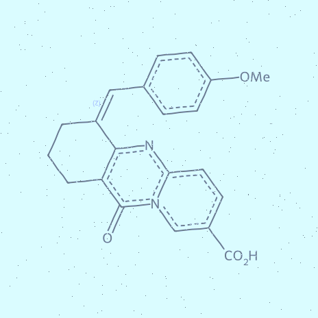 COc1ccc(/C=C2/CCCc3c2nc2ccc(C(=O)O)cn2c3=O)cc1